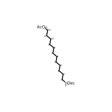 CCCCCCCCCCCCCCCCCCCCC[CH]OC(C)=O